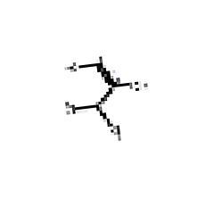 [O]/C=C(/Cl)C(Cl)Cl